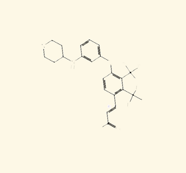 O=C(O)/C=C/c1ccc(Sc2cccc(NC3CCNCC3)c2)c(C(F)(F)F)c1C(F)(F)F